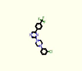 FC(F)(F)c1ccc(-c2cncc(N3CCN(c4cccc(Cl)c4)CC3)n2)cc1